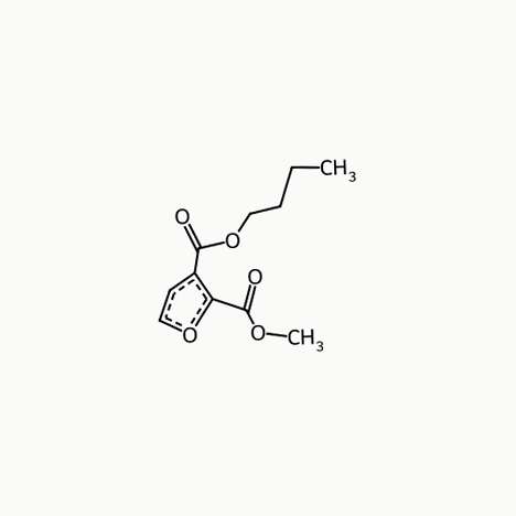 CCCCOC(=O)c1ccoc1C(=O)OC